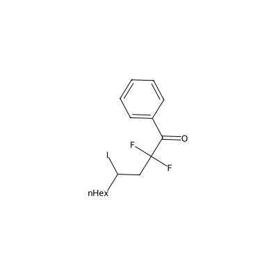 CCCCCCC(I)CC(F)(F)C(=O)c1ccccc1